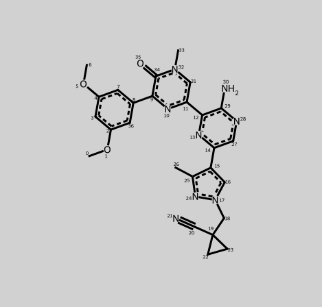 COc1cc(OC)cc(-c2nc(-c3nc(-c4cn(CC5(C#N)CC5)nc4C)cnc3N)cn(C)c2=O)c1